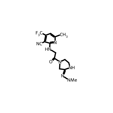 CN/N=C1/CN(C(=O)CNc2nc(C)cc(C(F)(F)F)c2C#N)CCN1